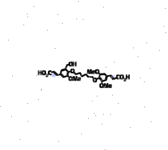 COc1cc(/C=C/C(=O)O)cc(CO)c1OCCCCCCOc1c(OC)cc(/C=C/C(=O)O)cc1OC